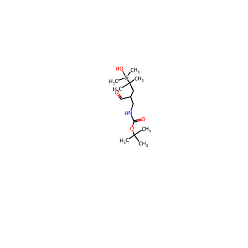 CC(C)(C)OC(=O)NCC(C=O)CC(C)(C)[Si](C)(C)O